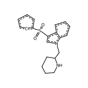 O=S(=O)(c1ccccc1)c1cn(CC2CCCCN2)c2ccccc12